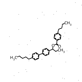 CCCCCc1ccc(-c2ccc(C(CC)OC(=O)c3ccc(CCCC)cc3)cc2)cc1